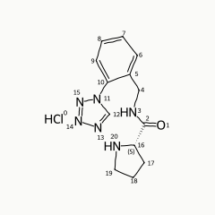 Cl.O=C(NCc1ccccc1-n1cnnn1)[C@@H]1CCCN1